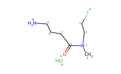 CN(CCF)C(=O)CCCN.Cl